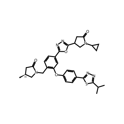 CC(C)c1nnc(-c2ccc(Oc3cc(-c4nnc(C5CC(=O)N(C6CC6)C5)o4)ccc3CN3C[C@@H](C)CC3=O)cc2)s1